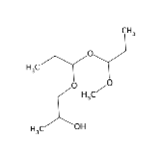 CCC(OC)OC(CC)OCC(C)O